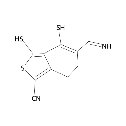 N#Cc1sc(S)c2c1CCC(C=N)=C2S